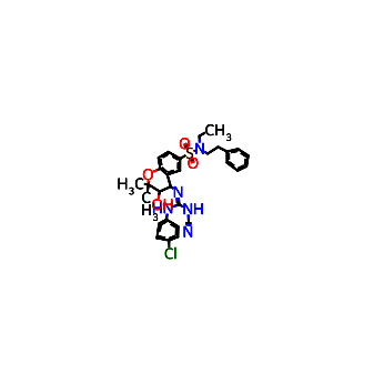 CCN(CCc1ccccc1)S(=O)(=O)c1ccc2c(c1)C(/N=C(/NC#N)Nc1ccc(Cl)cc1)C(O)C(C)(C)O2